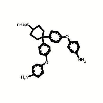 CCCCCCCC1CCC(c2ccc(Oc3ccc(N)cc3)cc2)(c2ccc(Oc3ccc(N)cc3)cc2)CC1